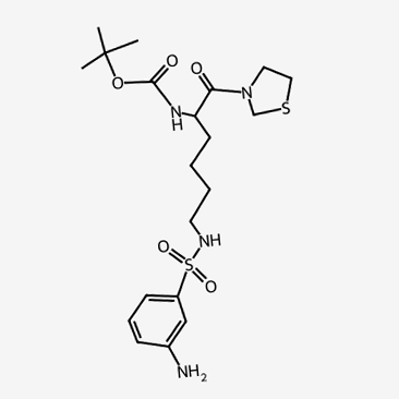 CC(C)(C)OC(=O)NC(CCCCNS(=O)(=O)c1cccc(N)c1)C(=O)N1CCSC1